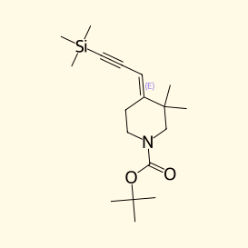 CC(C)(C)OC(=O)N1CC/C(=C\C#C[Si](C)(C)C)C(C)(C)C1